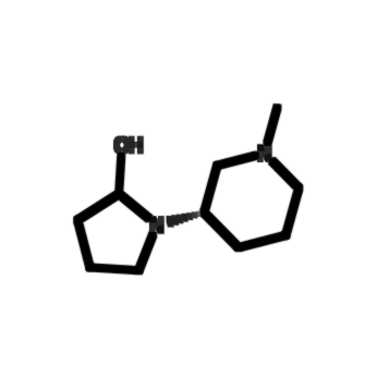 CN1CCC[C@H](N2CCCC2O)C1